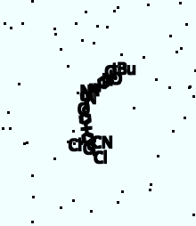 CC(C)(C)OC(=O)N1CCC2(CC1)CN(c1nccc(COc3ccc(C(C)(C)c4cc(Cl)c(OCCCl)c(C#N)c4)cc3)n1)C2